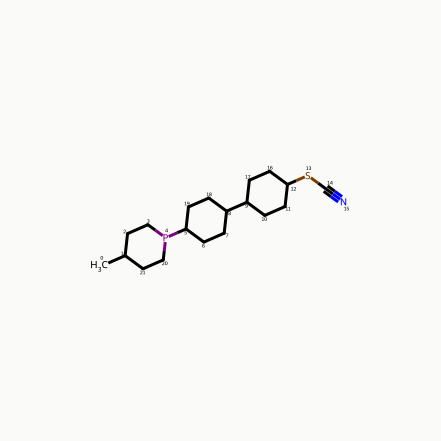 CC1CCP(C2CCC(C3CCC(SC#N)CC3)CC2)CC1